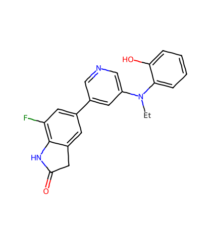 CCN(c1cncc(-c2cc(F)c3c(c2)CC(=O)N3)c1)c1ccccc1O